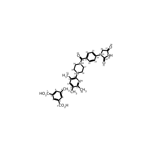 Cc1cc(C(=O)O)cc(C(=O)O)c1.Cc1cc(C)c(N2CCN(C(=O)c3ccc(N4CC(=O)NC4=O)cc3)CC2)nc1C